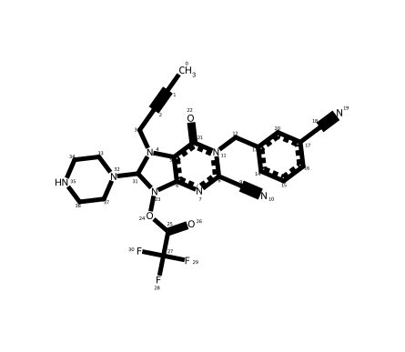 CC#CCN1c2c(nc(C#N)n(Cc3cccc(C#N)c3)c2=O)N(OC(=O)C(F)(F)F)C1N1CCNCC1